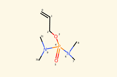 C=CCOP(=O)(N(C)C)N(C)C